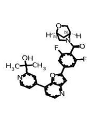 CC(C)(O)c1cc(-c2ccnc3cc(-c4cc(F)c(C(=O)N5C[C@@H]6C[C@H]5CO6)c(F)c4)oc23)ccn1